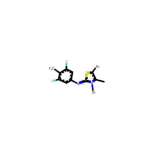 CCn1c(C)c(C(C)=O)s/c1=N\c1cc(F)c(C(F)(F)F)c(F)c1